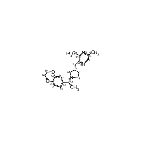 Cc1cnc(C[C@H]2CCN([C@@H](C)c3ccc4c(n3)OCCO4)C2)c(C)n1